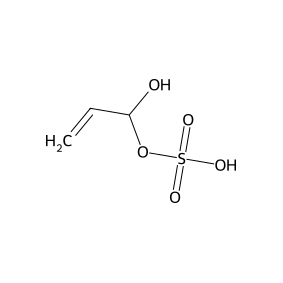 C=CC(O)OS(=O)(=O)O